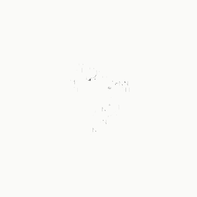 [N-]=[N+]=N[C@]1(COP(=O)(O)OP(=O)(O)OP(=O)(O)O)O[C@@H](n2ccc(N)nc2=S)[C@@H](F)C1O